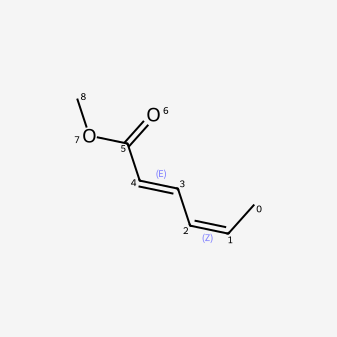 C/C=C\C=C\C(=O)OC